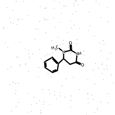 CN1C(=O)NC(=O)CC1c1ccccc1